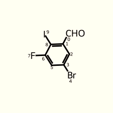 O=Cc1cc(Br)cc(F)c1I